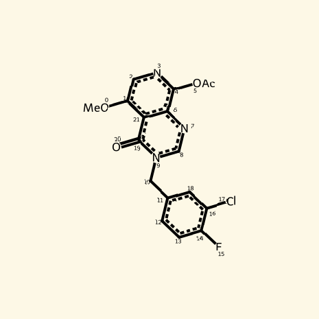 COc1cnc(OC(C)=O)c2ncn(Cc3ccc(F)c(Cl)c3)c(=O)c12